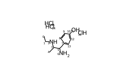 CCNC(C)C(N)c1ccc(O)cc1.Cl.Cl.Cl